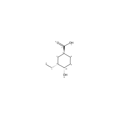 CC[C@@H]1C[C@@H](C(=O)O)CC[C@@H]1O